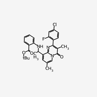 Cc1cc(C(C)Nc2ccccc2C(=O)OC(C)(C)C)c2nc(-c3ccc(Cl)cc3F)c(C)c(=O)n2c1